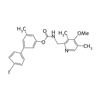 COc1c(C)cnc(CNC(=O)Oc2cc(C)cc(-c3ccc(I)cc3)c2)c1C